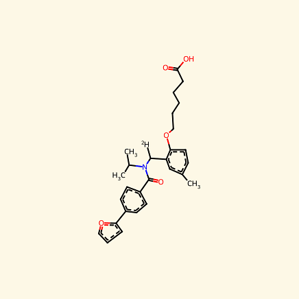 [2H]C(c1cc(C)ccc1OCCCCCC(=O)O)N(C(=O)c1ccc(-c2ccco2)cc1)C(C)C